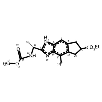 CCOC(=O)C1Cc2cc3[nH]c([C@@H](C)NC(=O)OC(C)(C)C)nc3c(F)c2C1